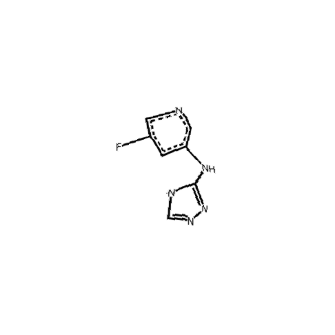 Fc1cncc(NC2=NN=C[N]2)c1